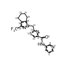 O=C(Nc1cccnc1)c1csc(Cn2nc(C(F)(F)F)c3c2CCCC3)n1